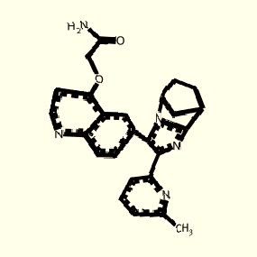 Cc1cccc(-c2nc3n(c2-c2ccc4nccc(OCC(N)=O)c4c2)C2CCC3C2)n1